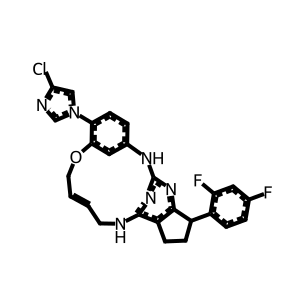 Fc1ccc(C2CCc3c4nc(nc32)Nc2ccc(-n3cnc(Cl)c3)c(c2)OC/C=C/CN4)c(F)c1